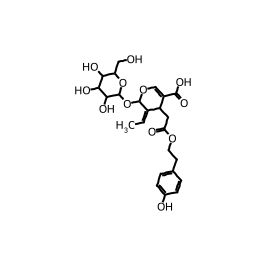 C/C=C1\C(OC2OC(CO)C(O)C(O)C2O)OC=C(C(=O)O)C1CC(=O)OCCc1ccc(O)cc1